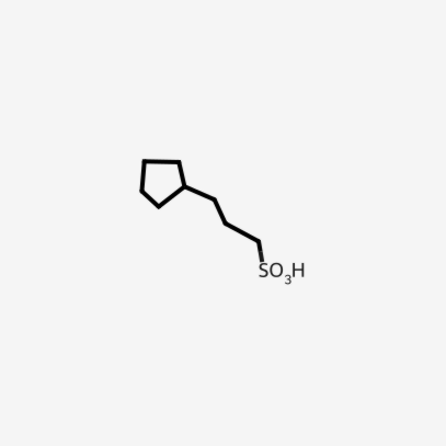 O=S(=O)(O)CCCC1CCCC1